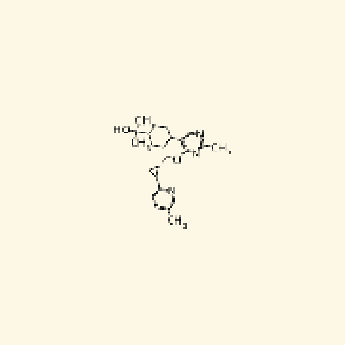 Cc1ccc([C@H]2C[C@@H]2COc2nc(C)ncc2C2CCC(C(C)(C)O)CC2)nc1